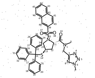 CN(Cc1nnn(C)n1)C(=O)[C@@H]1C[C@@H](SC(c2ccccc2)(c2ccccc2)c2ccccc2)CN1S(=O)(=O)c1ccc2ccccc2c1